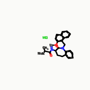 CCOc1ccc2ccccc2c1CN1C(=O)C(NC(=O)C(C)NC)CCc2ccccc21.Cl